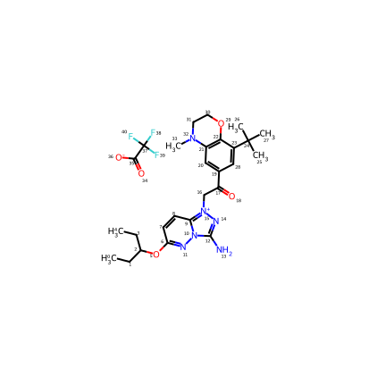 CCC(CC)Oc1ccc2n(n1)c(N)n[n+]2CC(=O)c1cc2c(c(C(C)(C)C)c1)OCCN2C.O=C([O-])C(F)(F)F